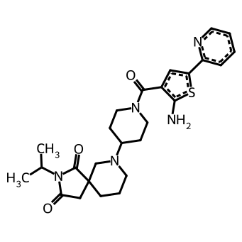 CC(C)N1C(=O)CC2(CCCN(C3CCN(C(=O)c4cc(-c5ccccn5)sc4N)CC3)C2)C1=O